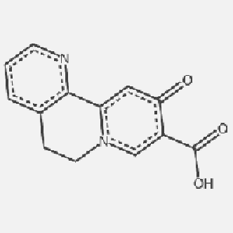 O=C(O)c1cn2c(cc1=O)-c1ncccc1CC2